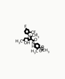 Cc1cc(NC(=O)c2cc(C[C@H](C)O)n(-c3ccc(F)cc3C(F)(F)F)c2C)ccc1S(C)(=O)=O